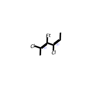 C/C=C(Cl)\C(CC)=C(/C)Cl